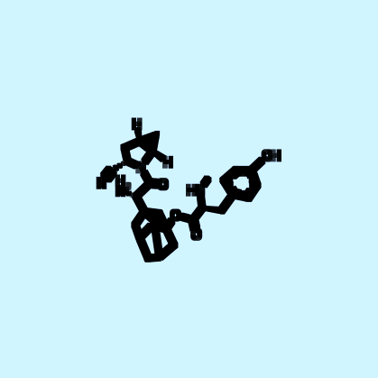 CN[C@@H](Cc1ccc(O)cc1)C(=O)OC12CC3CC(C1)CC([C@H](N)C(=O)N1[C@H](C#N)C[C@@H]4C[C@@H]41)(C3)C2